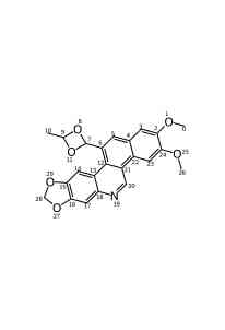 COc1cc2cc(C3OC(C)O3)c3c4cc5c(cc4ncc3c2cc1OC)OCO5